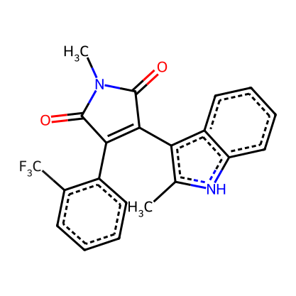 Cc1[nH]c2ccccc2c1C1=C(c2ccccc2C(F)(F)F)C(=O)N(C)C1=O